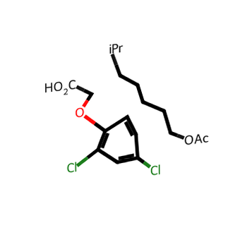 CC(=O)OCCCCCC(C)C.O=C(O)COc1ccc(Cl)cc1Cl